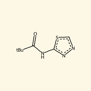 CC(C)(C)C(=O)Nc1nncs1